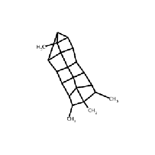 CC1C2C3C4C5C6C7C8C9C%10C%11C(C)C1(C)C2%11C3%10C49C58C67C